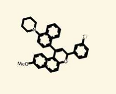 COc1ccc2c3c(ccc2c1)OC(c1cccc(Cl)c1)C=C3c1ccc(N2CCCCC2)c2ccccc12